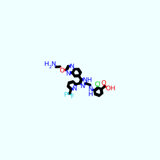 NCCOc1cnc2ccc(-c3[nH]c(CNc4cccc(C(=O)O)c4Cl)nc3-c3cccc(C(F)F)n3)cc2n1